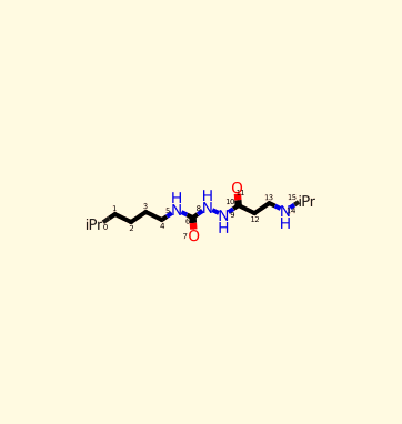 CC(C)CCCCNC(=O)NNC(=O)CCNC(C)C